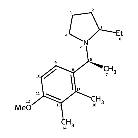 CCC1CCCN1[C@@H](C)c1ccc(OC)c(C)c1C